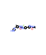 Cc1cc(NC(=O)CNc2ccc(-c3ccc(NC(=O)C4CC4)nc3)cc2F)ccc1CN1CCNCC1